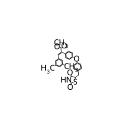 COC(=O)/C(=C/c1cc(C)cc(C)c1)c1ccc(Oc2ccc(CC3SC(=O)NC3=O)cc2)cc1